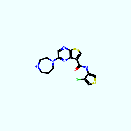 O=C(Nc1cscc1Cl)c1csc2ncc(N3CCCNCC3)nc12